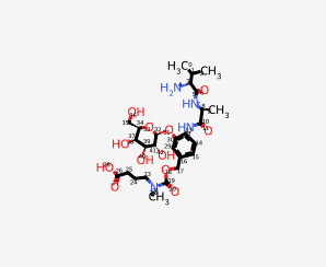 CC(C)[C@H](N)C(=O)N[C@@H](C)C(=O)Nc1ccc(COC(=O)N(C)CCCC(=O)O)cc1O[C@@H]1O[C@H](CO)[C@H](O)[C@H](O)[C@H]1O